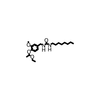 CCCCCCCCNC(=O)NCc1ccc(OC(C)OCC)c(OC)c1